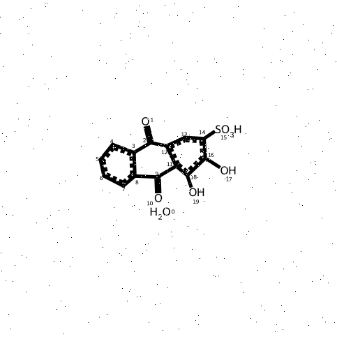 O.O=C1c2ccccc2C(=O)c2c1cc(S(=O)(=O)O)c(O)c2O